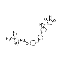 CC(C)(C)OC(=O)NCCO[C@H]1CC[C@H](CN2CCC(c3ccn4c(N5CCC(=O)NC5=O)cnc4c3)CC2)CC1